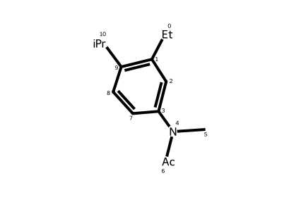 CCc1cc(N(C)C(C)=O)ccc1C(C)C